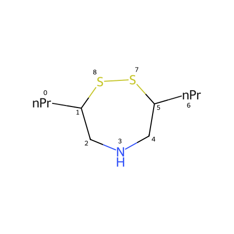 CCCC1CNCC(CCC)SS1